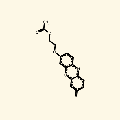 CC(=O)OCCOc1ccc2nc3ccc(=O)cc-3oc2c1